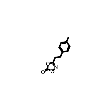 Cc1ccc(CCc2noc(=O)o2)cc1